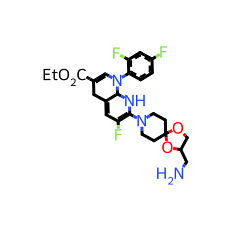 CCOC(=O)C1=CN(c2ccc(F)cc2F)C2NC(N3CCC4(CC3)OCC(CN)O4)=C(F)C=C2C1